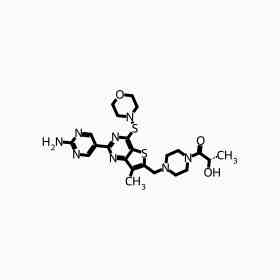 Cc1c(CN2CCN(C(=O)[C@H](C)O)CC2)sc2c(SN3CCOCC3)nc(-c3cnc(N)nc3)nc12